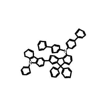 C1=Cc2c(n(-c3ccccc3)c3ccc(-c4ccc5c(c4)C(c4ccccc4)(c4ccccc4)c4cccc(N(c6ccc(-c7ccccc7)cc6)c6ccc(-c7ccccc7)cc6)c4-5)cc23)CC1